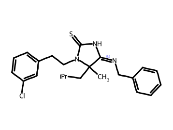 CC(C)CC1(C)/C(=N\Cc2ccccc2)NC(=S)N1CCc1cccc(Cl)c1